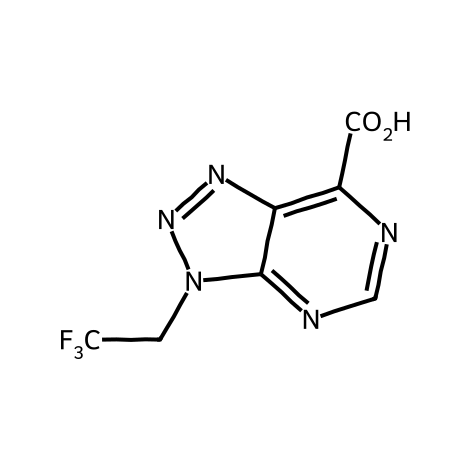 O=C(O)c1ncnc2c1nnn2CC(F)(F)F